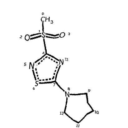 CS(=O)(=O)c1nsc(N2CCCC2)n1